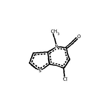 Cn1c(=O)cc(Cl)c2sccc21